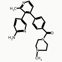 Cc1nccc(-c2ccc(C(=O)N3CCN(C)CC3)cc2)c1-c1ccc(N)nc1